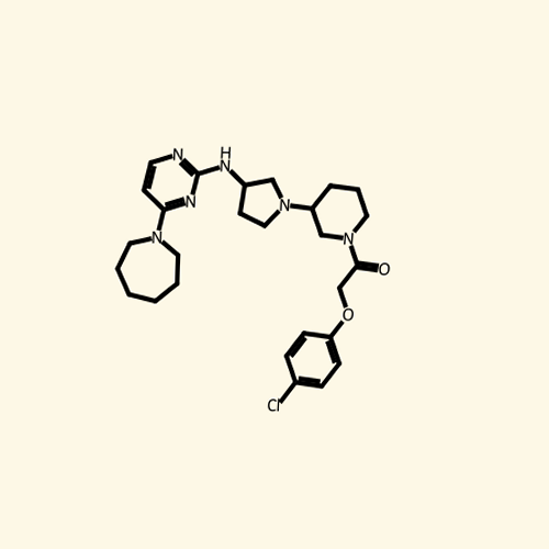 O=C(COc1ccc(Cl)cc1)N1CCCC(N2CCC(Nc3nccc(N4CCCCCC4)n3)C2)C1